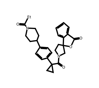 CCC(=O)N1CCC(c2ccc(C3(C(=O)N4CCC5(C4)OC(=O)c4ccccc45)CC3)cc2)CC1